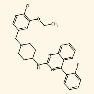 CCOc1cc(CN2CCC(Nc3nc(-c4ccccc4F)c4ccccc4n3)CC2)ccc1Cl